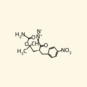 CC(C)(C[C@H](Cc1ccc([N+](=O)[O-])cc1)C(=O)C=[N+]=[N-])OC(N)=O